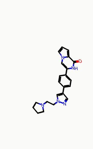 O=c1[nH]c(-c2ccc(-c3cnn(CCN4CCCC4)c3)cc2)cn2cccc12